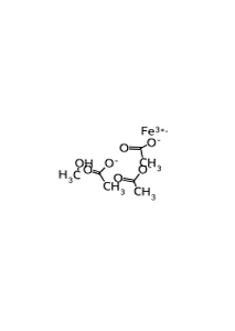 CC(=O)[O-].CC(=O)[O-].CC(=O)[O-].CO.[Fe+3]